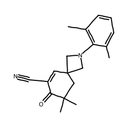 Cc1cccc(C)c1N1CC2(C=C(C#N)C(=O)C(C)(C)C2)C1